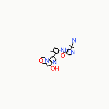 Cc1ccc(NC(=O)c2ccnc(C(C)(C)C#N)c2)cc1-c1cnc2c(c1)N1CCOCC1CC2O